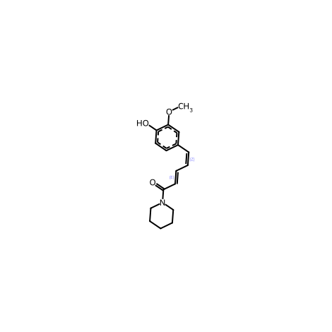 COc1cc(/C=C\C=C\C(=O)N2CCCCC2)ccc1O